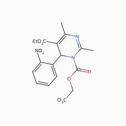 CCOC(=O)C1=C(C)N=C(C)N(C(=O)OCC(Cl)(Cl)Cl)C1c1ccccc1[N+](=O)[O-]